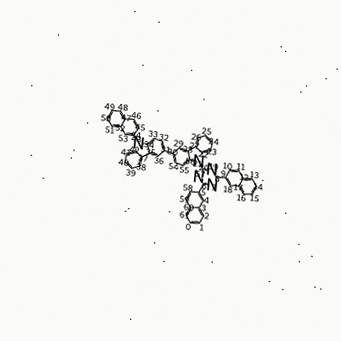 c1ccc2cc(-c3nc(-c4ccc5ccccc5c4)nc(-n4c5ccccc5c5cc(-c6ccc7c(c6)c6ccccc6n7-c6ccc7ccccc7c6)ccc54)n3)ccc2c1